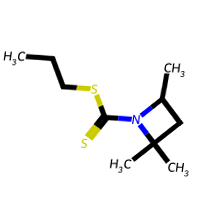 CCCSC(=S)N1C(C)CC1(C)C